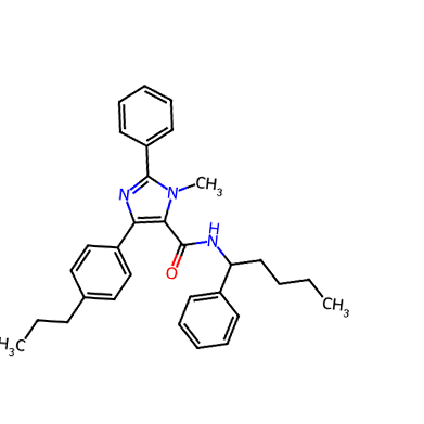 CCCCC(NC(=O)c1c(-c2ccc(CCC)cc2)nc(-c2ccccc2)n1C)c1ccccc1